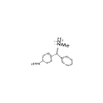 C=C(c1ccccc1)c1ccc(CCCCCC)cc1.CN.CNC